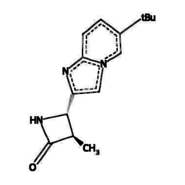 C[C@H]1C(=O)N[C@@H]1c1cn2cc(C(C)(C)C)ccc2n1